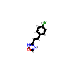 Brc1ccc(C=Cc2ncon2)cc1